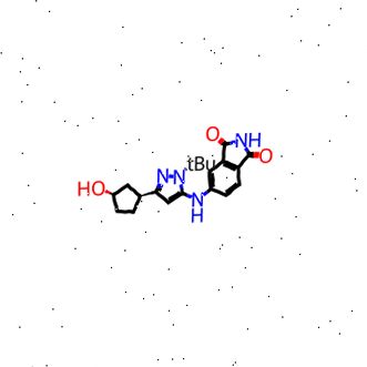 CC(C)(C)n1nc([C@H]2CC[C@@H](O)C2)cc1Nc1ccc2c(c1)C(=O)NC2=O